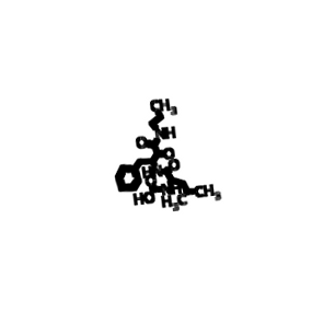 CCCNC(=O)C(=O)C(Cc1ccccc1)NC(=O)C(CC(C)C)NC(=O)O